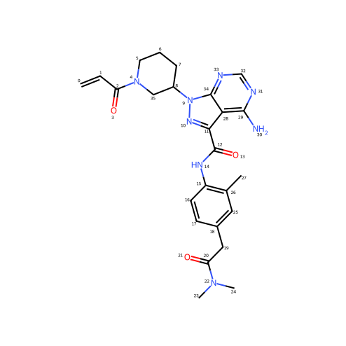 C=CC(=O)N1CCCC(n2nc(C(=O)Nc3ccc(CC(=O)N(C)C)cc3C)c3c(N)ncnc32)C1